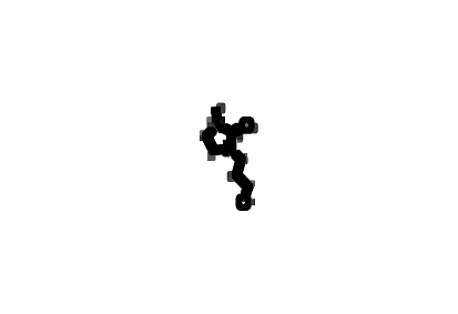 CN1CCN(CCC[O])C1=O